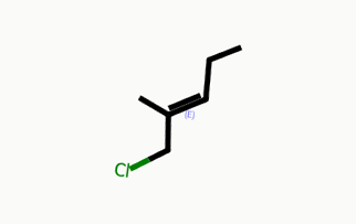 CC/C=C(\C)CCl